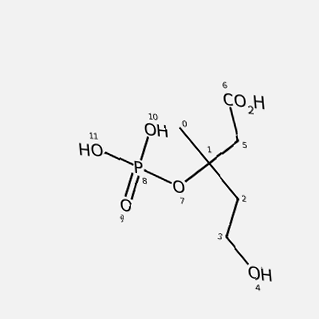 CC(CCO)(CC(=O)O)OP(=O)(O)O